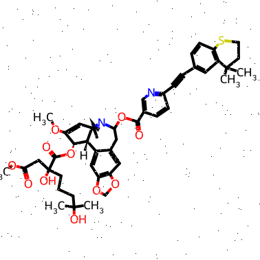 COC(=O)CC(O)(CCCC(C)(C)O)C(=O)O[C@@H]1C(OC)=C[C@]23CCCN2C(OC(=O)c2ccc(C#Cc4ccc5c(c4)C(C)(C)CCS5)nc2)Cc2cc4c(cc2[C@H]13)OCO4